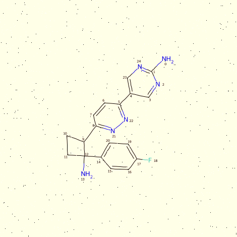 Nc1ncc(-c2ccc(C3CCC3(N)c3ccc(F)cc3)nn2)cn1